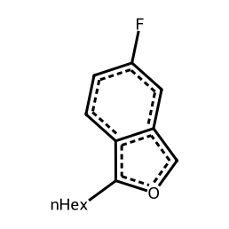 [CH2]CCCCCc1occ2cc(F)ccc12